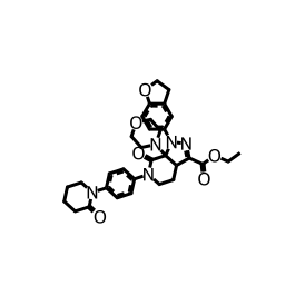 CCOC(=O)C1=NN(c2ccc3c(c2)CCO3)C2(N3CCOCC3)C(=O)N(c3ccc(N4CCCCC4=O)cc3)CCC12